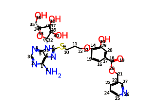 Nc1ncnc2c1nc(SCCCOc1ccc(C(=O)OCc3cccnc3)cc1O)n2[C@@H]1O[C@H](CO)[C@@H](O)[C@H]1O